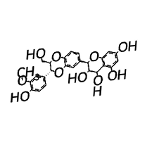 COc1cc([C@H]2Oc3cc([C@H]4Oc5cc(O)cc(O)c5C(O)[C@@H]4O)ccc3O[C@@H]2CO)ccc1O